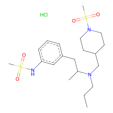 CCCN(CC1CCN(S(C)(=O)=O)CC1)C(C)Cc1cccc(NS(C)(=O)=O)c1.Cl